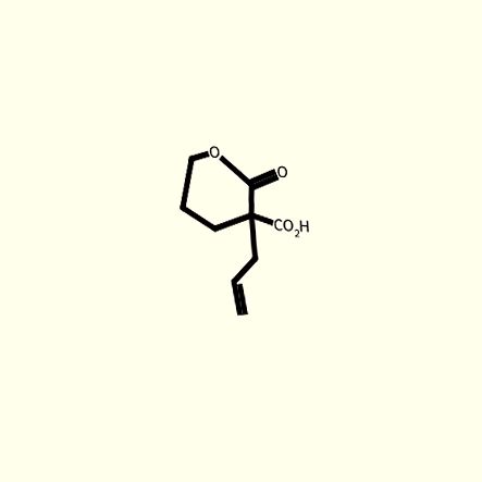 C=CCC1(C(=O)O)CCCOC1=O